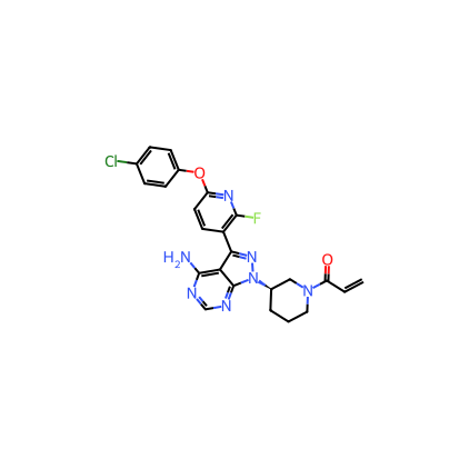 C=CC(=O)N1CCC[C@@H](n2nc(-c3ccc(Oc4ccc(Cl)cc4)nc3F)c3c(N)ncnc32)C1